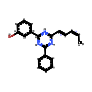 C/C=C\C=C\c1nc(-c2ccccc2)nc(-c2cccc(Br)c2)n1